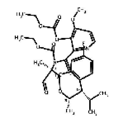 CCOC(=O)Oc1c(OC)ccnc1C(=O)N(C(=O)OCC)[C@](C)(C=O)CO[C@@H](C)[C@H](c1ccc(F)cc1C)C(C)C